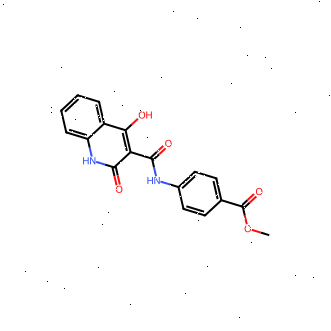 COC(=O)c1ccc(NC(=O)c2c(O)c3ccccc3[nH]c2=O)cc1